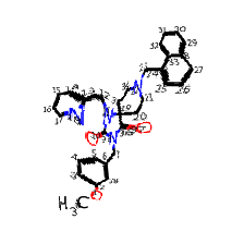 COc1cccc(CN2C(=O)N(Cc3ccccn3)C3(CCN(Cc4cccc5ccccc45)CC3)C2=O)c1